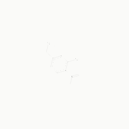 CCC(=O)c1ccc(CN)cc1N